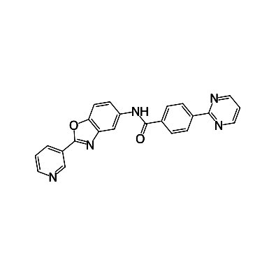 O=C(Nc1ccc2oc(-c3cccnc3)nc2c1)c1ccc(-c2ncccn2)cc1